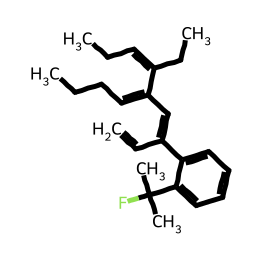 C=C\C(=C/C(=C/CCC)C(=C\CC)/CC)c1ccccc1C(C)(C)F